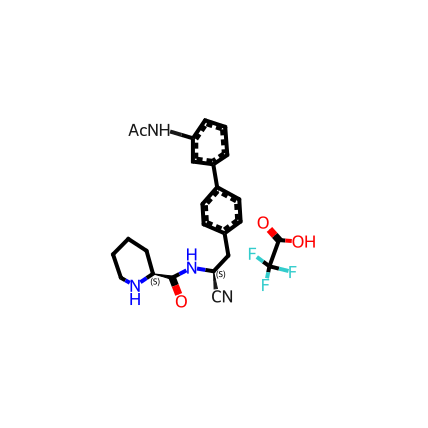 CC(=O)Nc1cccc(-c2ccc(C[C@@H](C#N)NC(=O)[C@@H]3CCCCN3)cc2)c1.O=C(O)C(F)(F)F